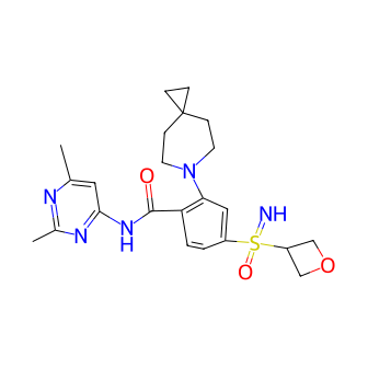 Cc1cc(NC(=O)c2ccc(S(=N)(=O)C3COC3)cc2N2CCC3(CC2)CC3)nc(C)n1